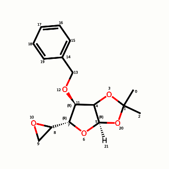 CC1(C)OC2[C@H](O[C@H](C3CO3)[C@H]2OCc2ccccc2)O1